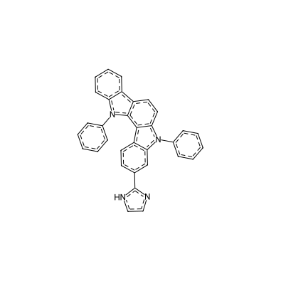 c1ccc(-n2c3cc(-c4ncc[nH]4)ccc3c3c2ccc2c4ccccc4n(-c4ccccc4)c23)cc1